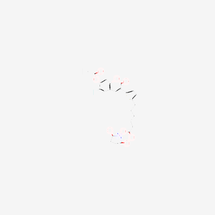 CC(=O)Oc1cc2oc(=O)c(-c3ccc(CCCCCC(=O)ON4C(=O)CCC4=O)s3)cc2cc1F